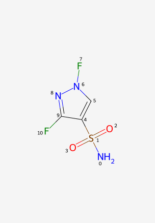 NS(=O)(=O)c1cn(F)nc1F